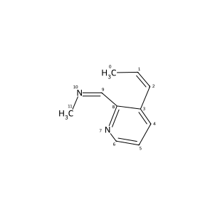 C/C=C\c1cccnc1/C=N\C